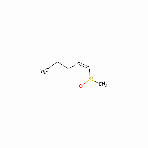 CCC/C=C\[S+](C)[O-]